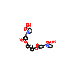 COc1cc(CN2CCCC[C@H]2C(=O)O)ccc1OCc1cccc(-c2cccc(COc3ccc(CN4CCCC[C@H]4C(=O)O)cc3OC)c2C)c1C